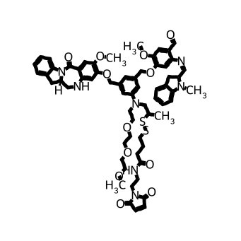 COCCOCCOCCN(CC(C)SSCCCC(=O)NCCN1C(=O)C=CC1=O)c1cc(COc2cc(/N=C\C3Cc4ccccc4N3C)c(C=O)cc2OC)cc(COc2cc3c(cc2OC)C(=O)N2c4ccccc4C[C@H]2CN3)c1